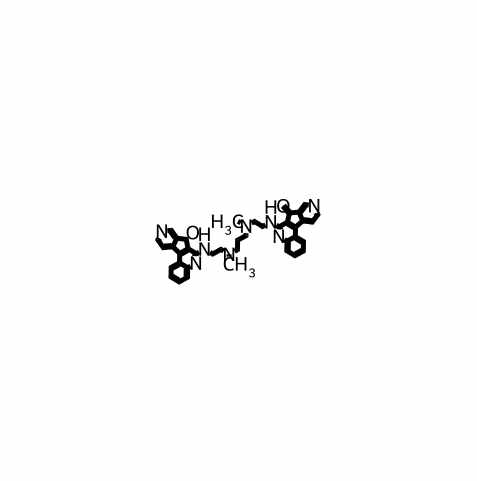 CN(CCCN(C)CCNc1nc2ccccc2c2c1C(=O)c1cnccc1-2)CCNc1nc2ccccc2c2c1C(=O)c1cnccc1-2